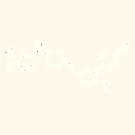 COc1ccc(CNC2CCC(N(C)C(=O)OC(C)(C)C)CC2)cc1-c1ccc(C#N)cc1